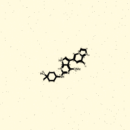 COc1nc(NC2CCC(C)(O)CC2)nc2[nH]cc(-c3cc(F)c4nccn4c3)c12